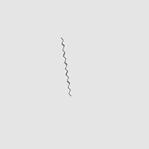 CCC=CCC=CCC=CCC=CCC=CCCCC